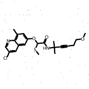 COCCC#CC(C)(C)NC(=O)C(Oc1cc(C)c2ncc(Cl)cc2c1)SC